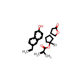 C=C(C)C(=O)OC1(CC)CCCC1.C=Cc1ccc2cc(O)ccc2c1.O=C1[CH]CCO1